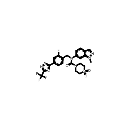 Cn1ncc2ccc(N(Cc3ccc(-c4nnc(C(F)(F)F)o4)cc3F)C(=O)N3CCS(=O)(=O)CC3)cc21